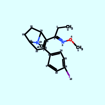 CCC(=NOC)C1=C(c2ccc(I)cc2)CC2CCC1N2C